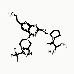 CCCc1cc2c(N3CCn4c(nnc4C(F)(F)F)C3)nc(OC[C@H]3CCCN3C(=O)C(C)C)nc2s1